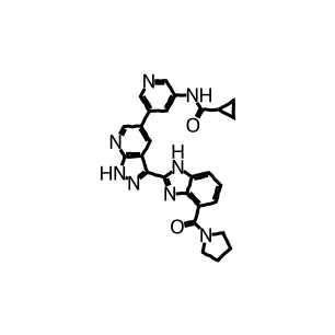 O=C(Nc1cncc(-c2cnc3[nH]nc(-c4nc5c(C(=O)N6CCCC6)cccc5[nH]4)c3c2)c1)C1CC1